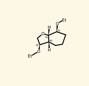 CCO[C@H]1CO[C@H]2[C@@H]1CCC[C@@H]2OCC